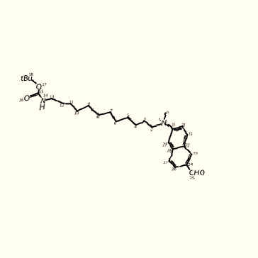 CN(CCCCCCCCCCCCNC(=O)OC(C)(C)C)c1ccc2cc(C=O)ccc2c1